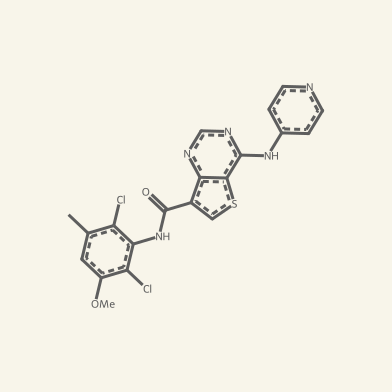 COc1cc(C)c(Cl)c(NC(=O)c2csc3c(Nc4ccncc4)ncnc23)c1Cl